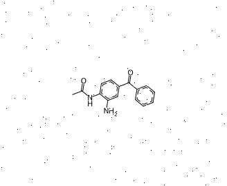 CC(=O)Nc1ccc(C(=O)c2ccccc2)cc1N